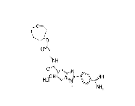 Cl.Cl.Cn1c(-c2ccc(C(=N)N)cc2)nc2cc(C(=O)NCCC(=O)OC3CCCCCCC3)ccc21